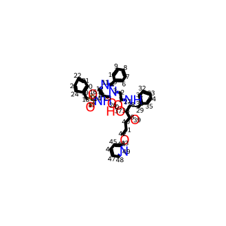 O=C(Cn1c(-c2ccccc2)ncc(NS(=O)(=O)Cc2ccccc2)c1=O)N[C@@H](Cc1ccccc1)[C@@H](O)C(=O)CCCOc1ccccn1